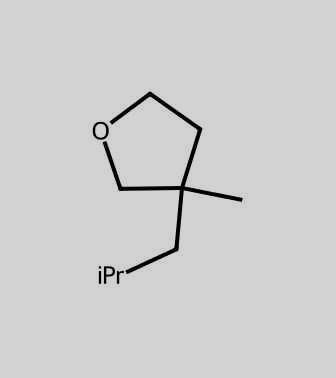 CC(C)CC1(C)CCOC1